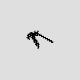 CCCCCCCCCCCCCCOc1ccc(S(=O)(=O)c2cnc3ccc([S+](C)[O-])cc3c2N2CCC(N3CCN(C4CCN(CC)CC4)CC3)CC2)c(F)c1F